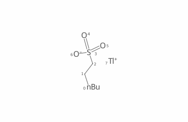 CCCCCCS(=O)(=O)[O-].[Tl+]